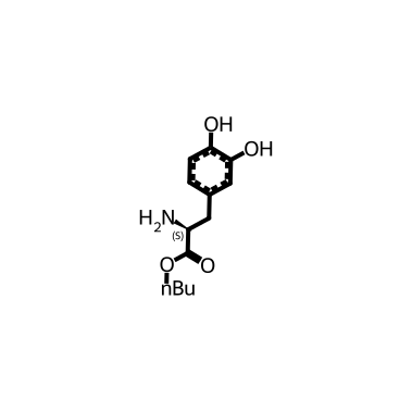 CCCCOC(=O)[C@@H](N)Cc1ccc(O)c(O)c1